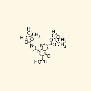 CC(C)(C)OC(=O)N1CCC(n2cc(C(=O)O)c(=O)c3cc(B4OC(C)(C)C(C)(C)O4)cnc32)C1